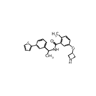 Cc1ccc(OC2CNC2)cc1C(=O)NC(C)c1cccc(-c2cccs2)c1